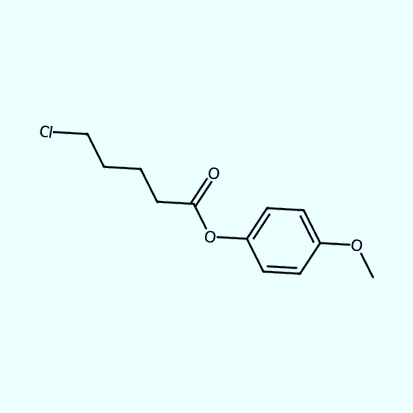 COc1ccc(OC(=O)CCCCCl)cc1